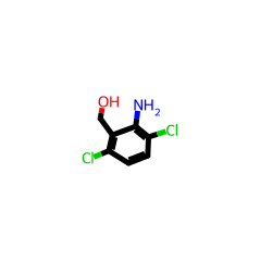 Nc1c(Cl)ccc(Cl)c1CO